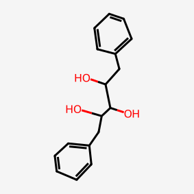 OC(Cc1ccccc1)C(O)C(O)Cc1ccccc1